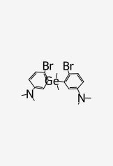 CN(C)c1ccc(Br)[c]([Ge]([CH3])([CH3])[c]2cc(N(C)C)ccc2Br)c1